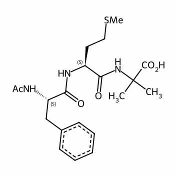 CSCC[C@H](NC(=O)[C@H](Cc1ccccc1)NC(C)=O)C(=O)NC(C)(C)C(=O)O